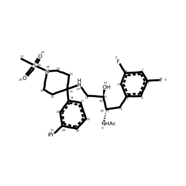 CC(=O)N[C@@H](Cc1cc(F)cc(F)c1)[C@H](O)CNC1(c2cccc(C(C)C)c2)CCN(S(C)(=O)=O)CC1